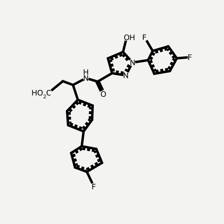 O=C(O)CC(NC(=O)c1cc(O)n(-c2ccc(F)cc2F)n1)c1ccc(-c2ccc(F)cc2)cc1